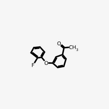 CC(=O)c1cccc(Oc2ccccc2F)c1